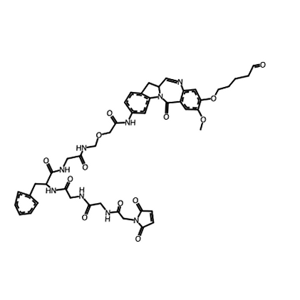 COc1cc2c(cc1OCCCCC=O)N=CC1Cc3ccc(NC(=O)COCNC(=O)CNC(=O)C(Cc4ccccc4)NC(=O)CNC(=O)CNC(=O)CN4C(=O)C=CC4=O)cc3N1C2=O